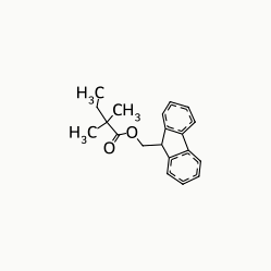 CCC(C)(C)C(=O)OCC1c2ccccc2-c2ccccc21